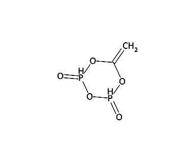 C=C1O[PH](=O)O[PH](=O)O1